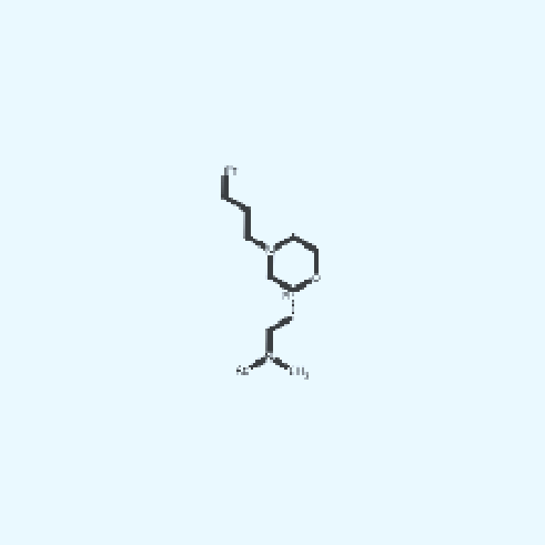 CC(=O)N(C)CC[C@@H]1CN(CCCC(C)C)CCO1